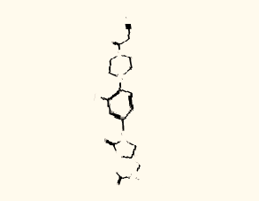 CN(C[C@@H]1CN(c2ccc(N3CCN(C(=O)CC#N)CC3)c(F)c2)C(=O)O1)C(=O)S